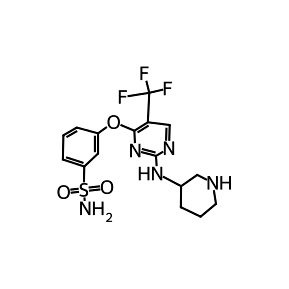 NS(=O)(=O)c1cccc(Oc2nc(NC3CCCNC3)ncc2C(F)(F)F)c1